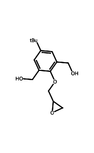 CC(C)(C)c1cc(CO)c(OCC2CO2)c(CO)c1